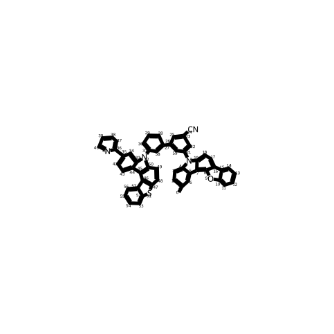 Cc1ccc2c(c1)c1c3oc4ccccc4c3ccc1n2-c1cc(C#N)cc(-c2cccc(-n3c4cc(-c5ccccn5)ccc4c4c5c(ccc43)sc3ccccc35)c2)c1